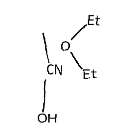 CC#N.CCOCC.CO